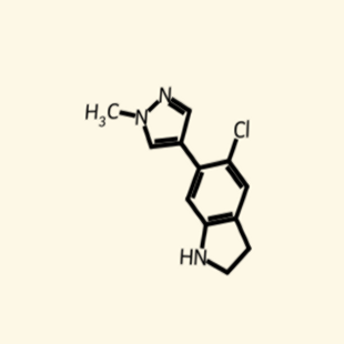 Cn1cc(-c2cc3c(cc2Cl)CCN3)cn1